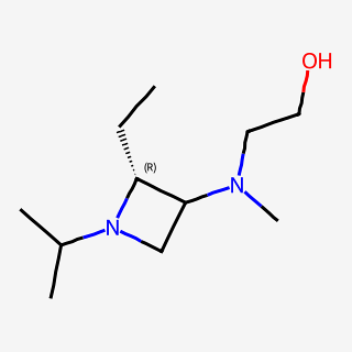 CC[C@@H]1C(N(C)CCO)CN1C(C)C